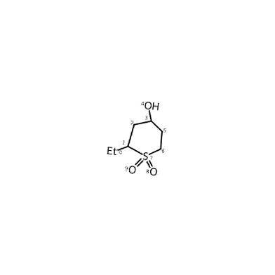 CCC1CC(O)CCS1(=O)=O